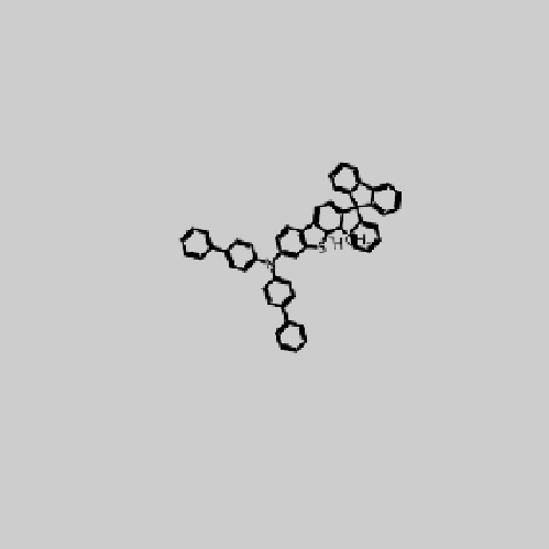 CC1C(C2(c3ccccc3)c3ccccc3-c3ccccc32)=CC=C2c3ccc(N(c4ccc(-c5ccccc5)cc4)c4ccc(-c5ccccc5)cc4)cc3S[C@@H]21